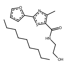 CCCCCCCCC.Cc1nc(-c2ccco2)sc1C(=O)NCCO